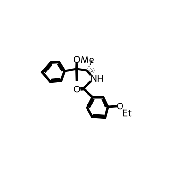 CCOc1cccc(C(=O)N[C@@H](C)C(C)(OC)c2ccccc2)c1